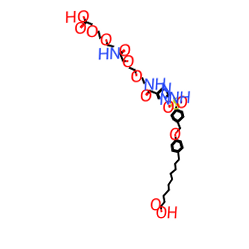 O=C(O)CCCCCCCCCc1ccc(OCc2ccc(S(=O)(=O)Nc3ncc(C(=O)NCCOCCOCC(=O)NCCOCCOCC(=O)O)cn3)cc2)cc1